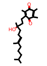 CC1=C(C)C(=O)C(CCC(C)(O)CC/C=C(\C)CCCC(C)C)=C(C)C1=O